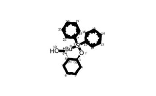 CC(C)(C)[Si](O[C@H]1CCCC[C@@H]1CO)(c1ccccc1)c1ccccc1